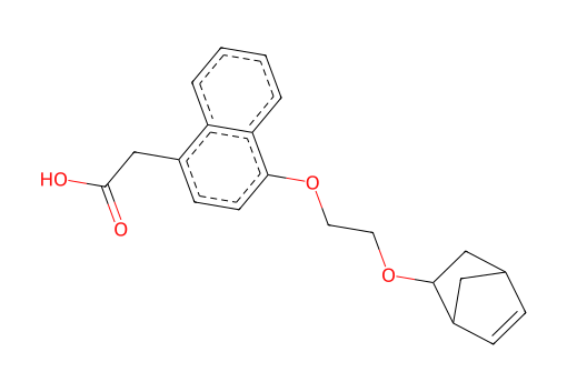 O=C(O)Cc1ccc(OCCOC2CC3C=CC2C3)c2ccccc12